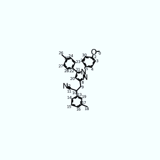 COc1ccc(-n2nc(CC(C#N)c3cccc(C)c3)cc2-c2ccc(C)cc2)cc1